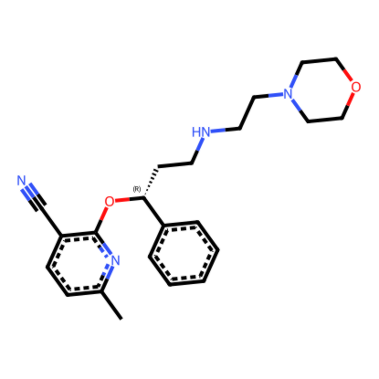 Cc1ccc(C#N)c(O[C@H](CCNCCN2CCOCC2)c2ccccc2)n1